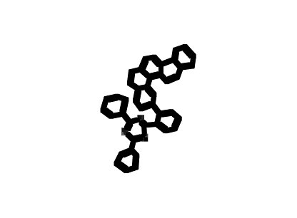 c1ccc(-c2nc(-c3ccccc3)nc(-c3ccccc3-c3ccc4ccc5ccc6c7ccccc7ccc6c5c4c3)n2)cc1